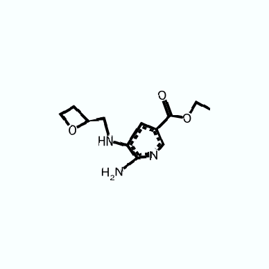 CCOC(=O)c1cnc(N)c(NC[C@@H]2CCO2)c1